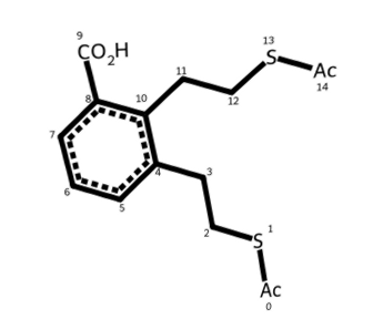 CC(=O)SCCc1cccc(C(=O)O)c1CCSC(C)=O